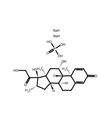 C[C@H]1C[C@H]2[C@@H]3CCC4=CC(=O)C=C[C@]4(C)[C@@]3(F)[C@@H](O)C[C@]2(C)[C@@]1(O)C(=O)CO.O=P(O)(O)O.[NaH].[NaH]